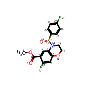 COC(=O)c1cc2c(cc1F)OCCN2[S+]([O-])c1ccc(F)cc1